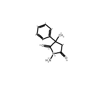 CC1(c2ccccc2)CC(=O)N(N)C1=O